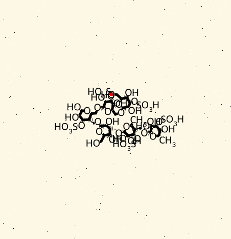 CC1O[C@@H](OC[C@@H]2C(C)O[C@@H](OC[C@H]3C(O)[C@H](OC[C@H]4C(CO[C@@H]5OC(CO[C@@H]6OC(CO)[C@H](O)[C@@H](OS(=O)(=O)O)C6O)[C@H](O)[C@@H](OS(=O)(=O)O)C5O)OC(O)C(O)[C@@H]4OS(=O)(=O)O)OC(CO)[C@@H]3O)C(O)(O)[C@H]2OS(=O)(=O)O)C(O)(O)[C@@H](OS(=O)(=O)O)[C@@H]1O